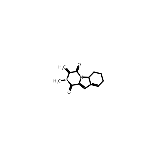 C=c1c(=O)n2c(c(=O)n1C)=CC1=CCCCC12